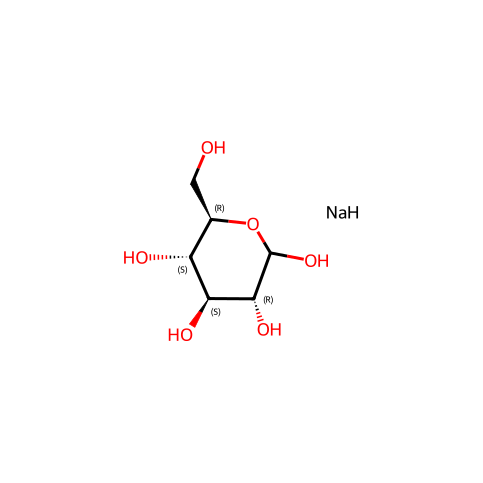 OC[C@H]1OC(O)[C@H](O)[C@@H](O)[C@@H]1O.[NaH]